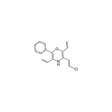 C=CC1=C(c2ccccc2)OC(C=C)=C(/C=C/Cl)N1